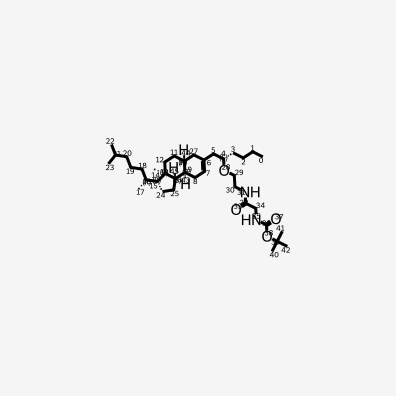 CCCC[C@@H](CC1=CC[C@@H]2[C@H](CC[C@]3(C)[C@@H]([C@H](C)CCCC(C)C)CC[C@@H]23)C1)OCCNC(=O)CNC(=O)OC(C)(C)C